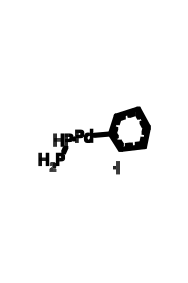 P[PH][Pd][c]1ccccc1.[I]